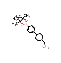 CCC1CCC(c2ccc(B3OC(C)(C)C(C)(C)O3)cc2)CC1